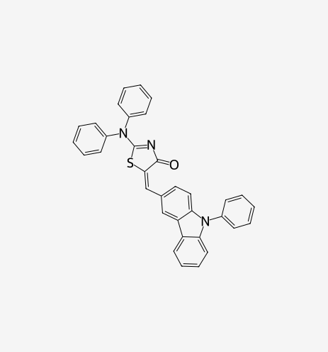 O=C1N=C(N(c2ccccc2)c2ccccc2)S/C1=C/c1ccc2c(c1)c1ccccc1n2-c1ccccc1